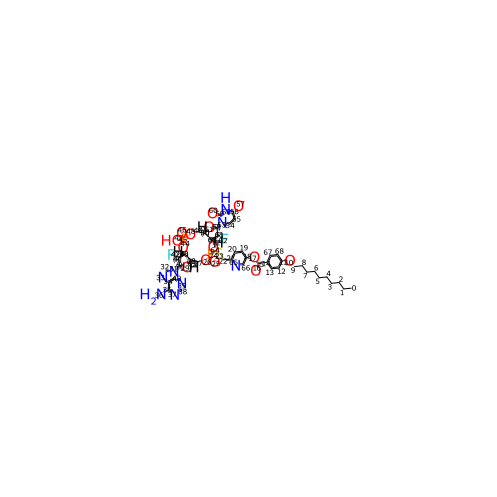 CCCCCCCCCCOc1ccc(C(=O)Oc2ccc(CSP3(=O)OC[C@H]4O[C@@H](n5cnc6c(N)ncnc65)[C@H](F)[C@@H]4OP(=O)(O)OC[C@H]4O[C@@H](n5ccc(=O)[nH]c5=O)[C@H](F)[C@@H]4O3)nc2)cc1